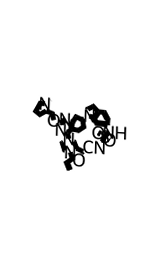 C=CC(=O)N1CCN(c2nc(OCC3CCCN3C)nc3c2CCC(N2CCc4ccc(NS(C)(=O)=O)cc42)C3)CC1CC#N